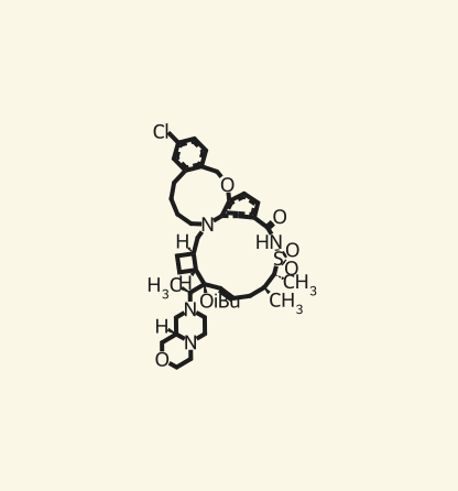 CC(C)CO[C@]1([C@H](C)N2CCN3CCOC[C@@H]3C2)/C=C/C[C@H](C)[C@@H](C)S(=O)(=O)NC(=O)c2ccc3c(c2)N(CCCCc2cc(Cl)ccc2CO3)C[C@@H]2CC[C@H]21